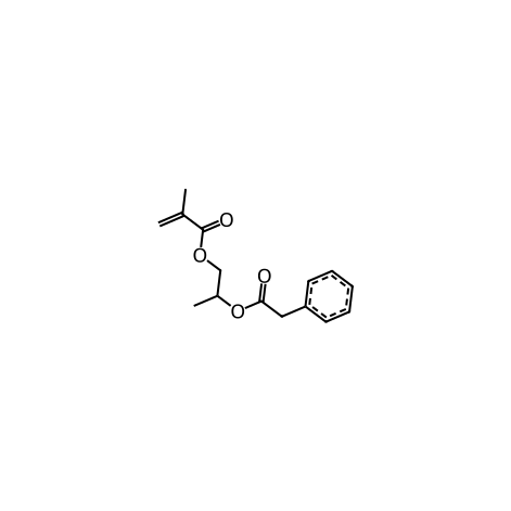 C=C(C)C(=O)OCC(C)OC(=O)Cc1ccccc1